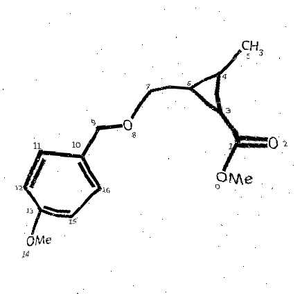 COC(=O)C1C(C)C1COCc1ccc(OC)cc1